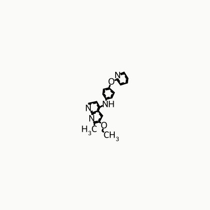 CCOc1cc2c(Nc3ccc(Oc4ccccn4)cc3)ccnc2nc1C